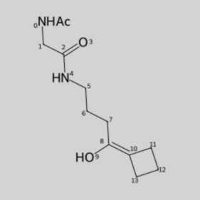 CC(=O)NCC(=O)NCCCC(O)=C1CCC1